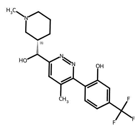 Cc1cc(C(O)[C@H]2CCCN(C)C2)nnc1-c1ccc(C(F)(F)F)cc1O